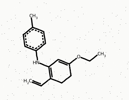 C=CC1=C(Nc2ccc(C)cc2)C=C(OCC)CC1